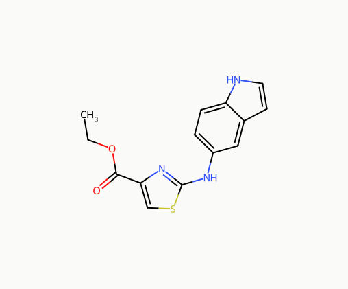 CCOC(=O)c1csc(Nc2ccc3[nH]ccc3c2)n1